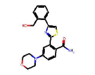 NC(=O)c1ccc(N2CCOCC2)cc1-c1nc(-c2ccccc2CO)cs1